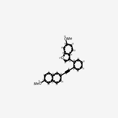 COc1ccc2cc(C#Cc3ccccc3-c3coc4cc(OC)ccc34)ccc2c1